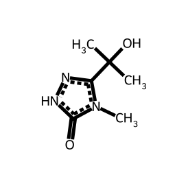 Cn1c(C(C)(C)O)n[nH]c1=O